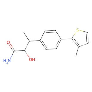 Cc1ccsc1-c1ccc(C(C)C(O)C(N)=O)cc1